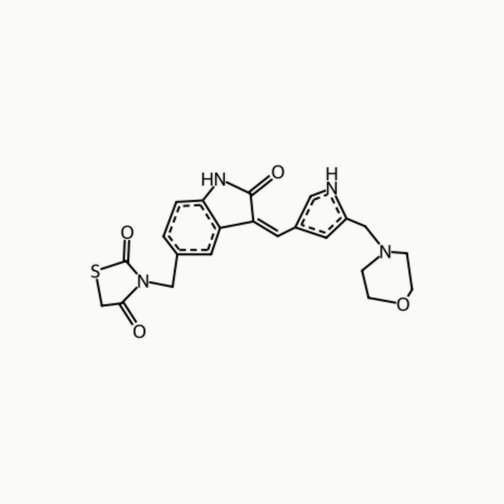 O=C1Nc2ccc(CN3C(=O)CSC3=O)cc2C1=Cc1c[nH]c(CN2CCOCC2)c1